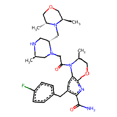 CC1COc2nc(C(N)=O)c(Cc3ccc(F)cc3)cc2N1C(=O)CN1C[C@@H](C)NC[C@@H]1CN1[C@H](C)COC[C@H]1C